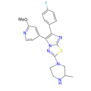 COc1cc(-c2c(-c3ccc(F)cc3)nc3sc(N4CCNC(C)C4)nn23)ccn1